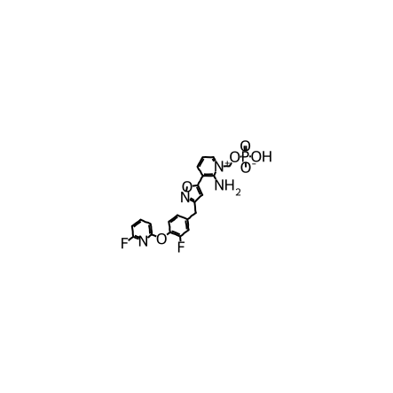 Nc1c(-c2cc(Cc3ccc(Oc4cccc(F)n4)c(F)c3)no2)ccc[n+]1COP(=O)([O-])O